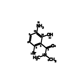 CN(C)C(=O)c1c(Br)ccc(N)c1O